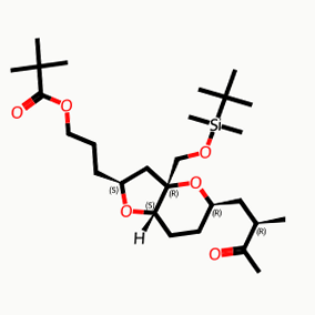 CC(=O)[C@H](C)C[C@H]1CC[C@@H]2O[C@@H](CCCOC(=O)C(C)(C)C)C[C@]2(CO[Si](C)(C)C(C)(C)C)O1